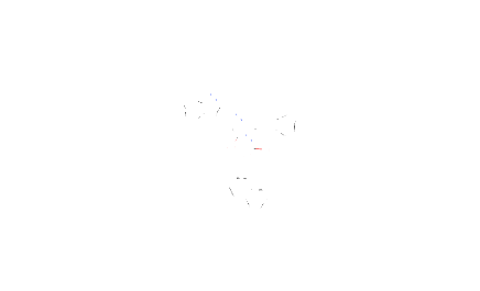 CC([C]=O)(Cc1ccccc1)N(C(=O)OCc1cccc2ccccc12)C(=O)[C@@H](N)Cc1c[nH]c2ccccc12